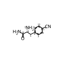 N#Cc1ccc(C[C@@H](N)C(N)=O)cc1